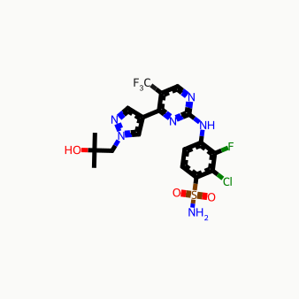 CC(C)(O)Cn1cc(-c2nc(Nc3ccc(S(N)(=O)=O)c(Cl)c3F)ncc2C(F)(F)F)cn1